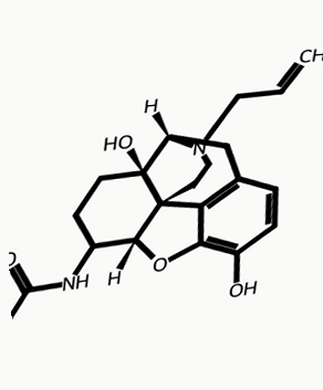 C=CCN1CC[C@@]23c4c5ccc(O)c4O[C@@H]2C(NC(C)=O)CC[C@]3(O)[C@@H]1C5